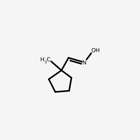 CC1(C=NO)CCCC1